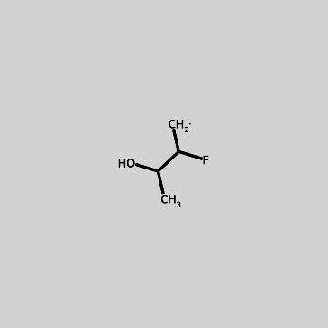 [CH2]C(F)C(C)O